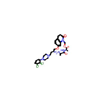 CC(N)C(=O)NC(C)C(=O)OCN1C(=O)CCc2ccc(OCCCCN3CCN(c4cccc(Cl)c4Cl)CC3)cc21